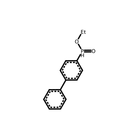 CCO[PH](=O)c1ccc(-c2ccccc2)cc1